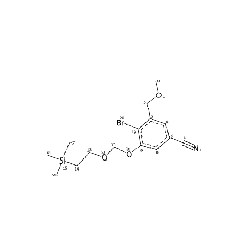 COCc1cc(C#N)cc(OCOCC[Si](C)(C)C)c1Br